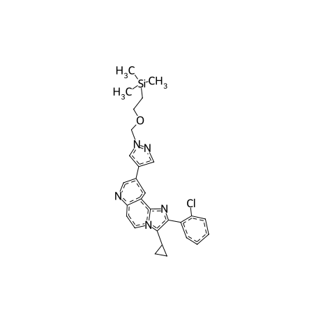 C[Si](C)(C)CCOCn1cc(-c2cnc3ccn4c(C5CC5)c(-c5ccccc5Cl)nc4c3c2)cn1